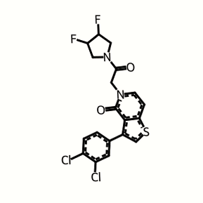 O=C(Cn1ccc2scc(-c3ccc(Cl)c(Cl)c3)c2c1=O)N1CC(F)C(F)C1